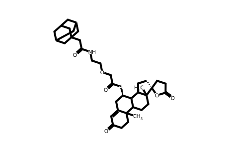 CC12CCC(=O)C=C1C[C@@H](SC(=O)COCCNC(=O)CC13CC4CC(CC(C4)C1)C3)C1C2CCC2(C)C1CC[C@@]21CCC(=O)O1